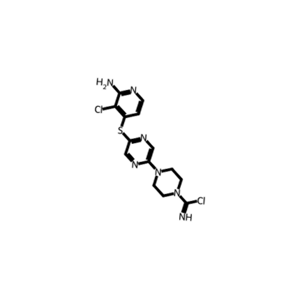 N=C(Cl)N1CCN(c2cnc(Sc3ccnc(N)c3Cl)cn2)CC1